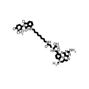 CN1C(=O)CCC(N2C(=O)c3cccc(NCCCCCCCCNC(=O)CC[C@@H](NC(=O)c4ccc(N(C)Cc5cnc6nc(N)nc(N)c6n5)cc4)C(=O)O)c3C2=O)C1=O